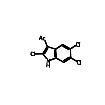 CC(=O)c1c(Cl)[nH]c2cc(Cl)c(Cl)cc12